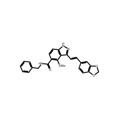 COc1c(C(=O)NCc2ccccc2)ccc2[nH]nc(/C=C/c3ccc4c(c3)OCO4)c12